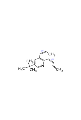 C=C/C=C\c1ncc(C(C)(C)C)cc1/C=C\C